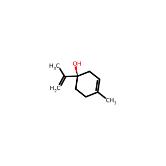 C=C(C)[C@]1(O)CC=C(C)CC1